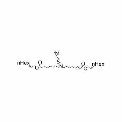 CCCCCC/C=C\COC(=O)CCCCCCCN(CCCCCCCC(=O)OC/C=C\CCCCCC)CSCCN(C)C